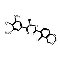 COc1cc(C(=O)N(NC(=O)c2ccc3c(c2Cl)COCO3)C(C)(C)C)cc(OC)c1C